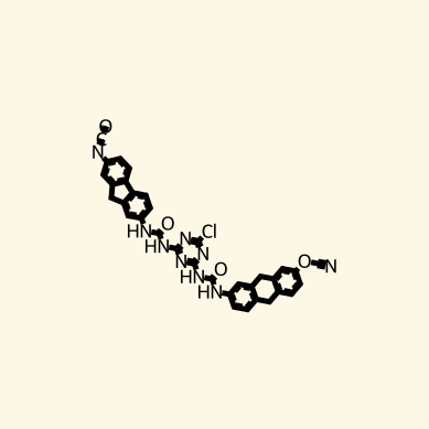 N#COc1ccc2c(c1)Cc1cc(NC(=O)Nc3nc(Cl)nc(NC(=O)Nc4ccc5c(c4)Cc4cc(N=C=O)ccc4-5)n3)ccc1C2